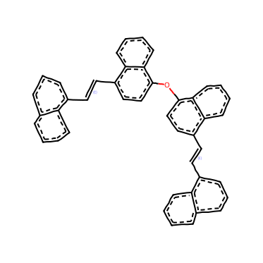 C(=C\c1ccc(Oc2ccc(/C=C/c3cccc4ccccc34)c3ccccc23)c2ccccc12)/c1cccc2ccccc12